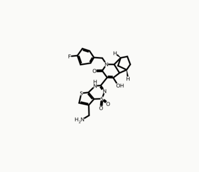 NCc1csc2c1S(=O)(=O)N=C(C1=C(O)C3C([C@@H]4CC[C@H]3C4)N(Cc3ccc(F)cc3)C1=O)N2